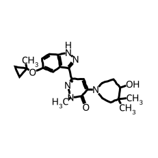 Cn1nc(-c2n[nH]c3ccc(OC4(C)CC4)cc23)cc(N2CCC(O)C(C)(C)CC2)c1=O